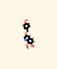 COc1ccc(COc2cnc3c(OC)c(OC)ccc3c2)cc1